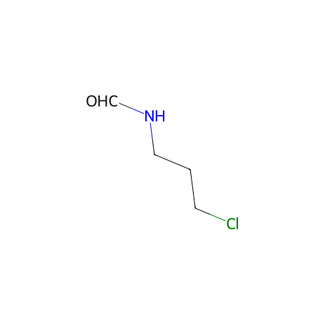 O=CNCCCCl